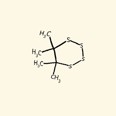 CC1(C)SSSSC1(C)C